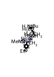 CCOc1ccc(C(=N\N=C(/S)NC)/C(C)=N/N=C(\S)NC(C)(C)CCOC(C)(N)C(C)(C)C)cc1